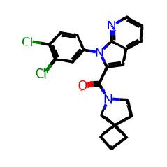 O=C(c1cc2cccnc2n1-c1ccc(Cl)c(Cl)c1)N1CCC2(CCC2)C1